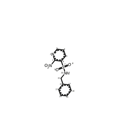 O=[N+]([O-])c1ncccc1S(=O)(=O)NCc1ccccc1